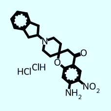 Cl.Cl.Nc1cc2c(cc1[N+](=O)[O-])C(=O)CC1(CCN(C3Cc4ccccc4C3)CC1)O2